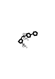 COc1cccc(CC(C)(C)c2ccc(-c3ccccc3)cc2)c1